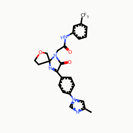 Cc1cn(-c2ccc(C3=NC4(CCOC4)N(CC(=O)Nc4cccc(C(F)(F)F)c4)C3=O)cc2)cn1